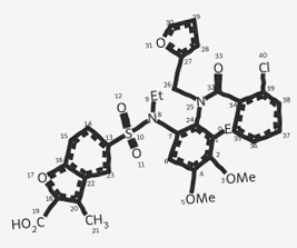 CCc1c(OC)c(OC)cc(N(CC)S(=O)(=O)c2ccc3oc(C(=O)O)c(C)c3c2)c1N(Cc1ccco1)C(=O)c1ccccc1Cl